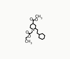 CCOC(=O)CN1CCC(C(=O)OC)CC1CCC1CCCCC1